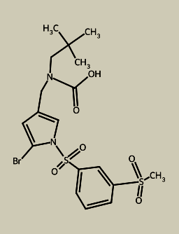 CC(C)(C)CN(Cc1cc(Br)n(S(=O)(=O)c2cccc(S(C)(=O)=O)c2)c1)C(=O)O